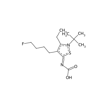 CCc1c(CCCCF)c(=NC(=O)O)sn1C(C)(C)C